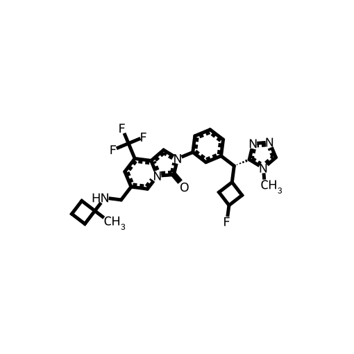 Cn1cnnc1[C@@H](c1cccc(-n2cc3c(C(F)(F)F)cc(CNC4(C)CCC4)cn3c2=O)c1)C1CC(F)C1